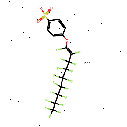 O=S(=O)([O-])c1ccc(OC(F)=C(F)C(F)(F)C(F)(F)C(F)(F)C(F)(F)C(F)(F)C(F)(F)C(F)(F)F)cc1.[Na+]